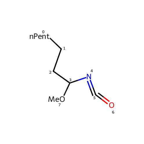 CCCCCCCC(N=C=O)OC